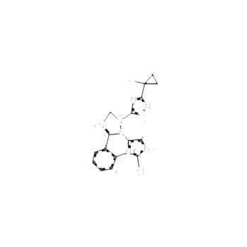 OC1(c2noc(N3CN=C4c5ccccc5-n5c(cnc5Cl)N43)n2)CC1